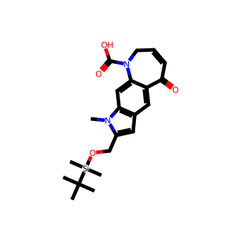 Cn1c(CO[Si](C)(C)C(C)(C)C)cc2cc3c(cc21)N(C(=O)O)CC=CC3=O